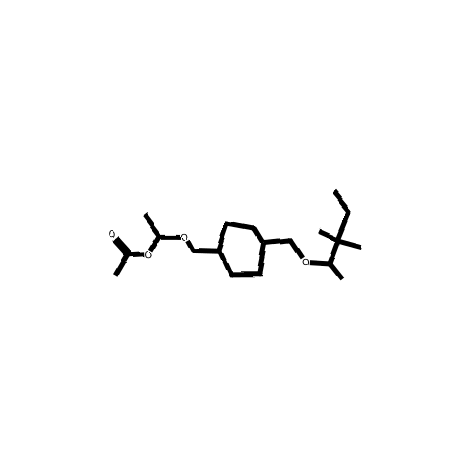 CCC(C)(C)C(C)OCC1CCC(COC(C)OC(C)=O)CC1